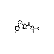 Fc1ccc(C2CCCN2c2ncnc(Nc3cc(C4CC4)[nH]n3)n2)cc1